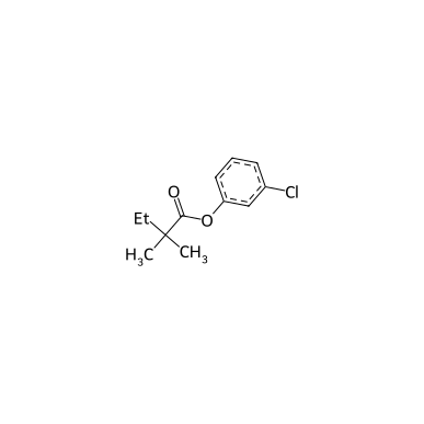 CCC(C)(C)C(=O)Oc1cccc(Cl)c1